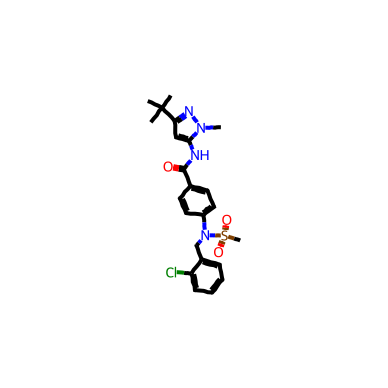 Cn1nc(C(C)(C)C)cc1NC(=O)c1ccc(N(Cc2ccccc2Cl)S(C)(=O)=O)cc1